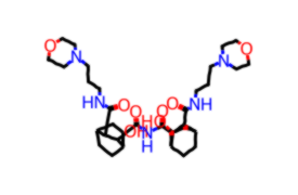 O=C(NCCCN1CCOCC1)C1C2CCC(C(O)C2)C1C(=O)NC(=O)C1C2CCC(CC2O)C1C(=O)NCCCN1CCOCC1